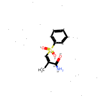 CC(=CS(=O)(=O)c1ccccc1)C(N)=O